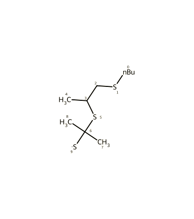 CCCCSCC(C)SC(C)(C)[S]